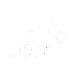 O=C1OC(c2ccc(O)cc2)(c2ccc(O)cc2)c2ccccc21.Oc1ccc2ccccc2c1